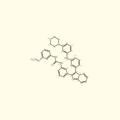 COc1cccc(NC(=O)Nc2cccc(-c3nc4ccccn4c3-c3ccnc(Nc4cccc(N5CCOCC5)c4)n3)c2)c1